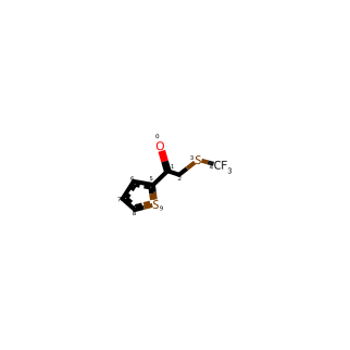 O=C(CSC(F)(F)F)c1cccs1